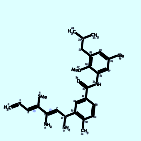 C=N/C=C(SC)/C(N)=C/N(N)c1cc(C(=O)Nc2cc(C(C)(C)C)cc(CN(C)C)c2OC)ccc1C